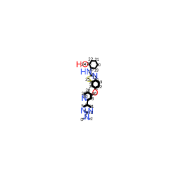 CN(C)c1ncc(-c2cc(Oc3ccc4nc(N[C@@H]5CCCC[C@H]5O)sc4c3)ccn2)cn1